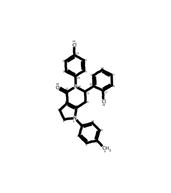 Cc1ccc(N2CCC3=C2CC(c2ccccc2Cl)N(c2ccc(Cl)cc2)C3=O)cc1